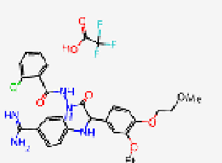 CCOc1cc(C(Nc2ccc(C(=N)N)cc2)C(=O)NNC(=O)c2ccccc2Cl)ccc1OCCOC.O=C(O)C(F)(F)F